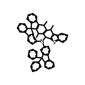 CC1C2=C3C(C)C4=C1C(C)c1c(sc5ccccc15)C4(C)N(c1ccc4c(c1)C(c1ccccc1)(c1ccccc1)c1ccccc1-4)c1ccc4c(c1)C3(c1ccccc12)c1ccccc1-4